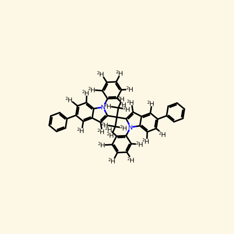 [2H]c1c([2H])c([2H])c(-n2c(C(c3c([2H])c4c([2H])c(-c5ccccc5)c([2H])c([2H])c4n3-c3c([2H])c([2H])c([2H])c([2H])c3[2H])(C([2H])([2H])[2H])C([2H])([2H])[2H])c([2H])c3c([2H])c(-c4ccccc4)c([2H])c([2H])c32)c([2H])c1[2H]